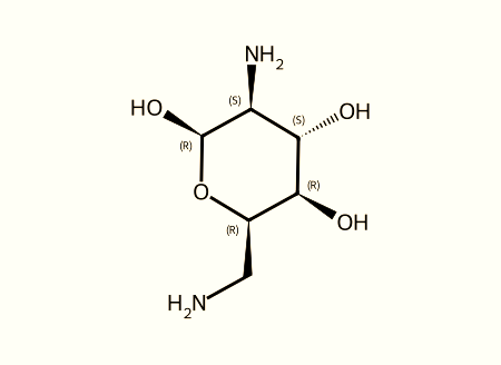 NC[C@H]1O[C@@H](O)[C@@H](N)[C@H](O)[C@H]1O